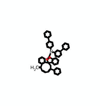 C=C1/C=C\C=C(\c2ccccc2)CC2(c3ccccc31)c1ccccc1-c1c(N(c3ccc(-c4ccccc4)cc3)c3cccc(-c4ccccc4)c3)cccc12